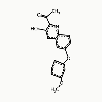 COc1cccc(Oc2ccc3nc(C(C)=O)c(O)cc3c2)c1